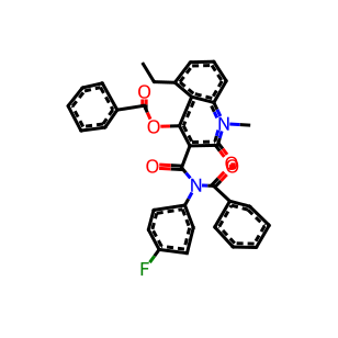 CCc1cccc2c1c(OC(=O)c1ccccc1)c(C(=O)N(C(=O)c1ccccc1)c1ccc(F)cc1)c(=O)n2C